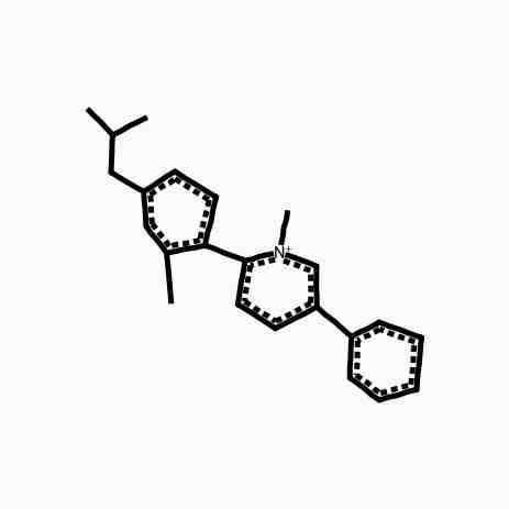 Cc1cc(CC(C)C)ccc1-c1ccc(-c2ccccc2)c[n+]1C